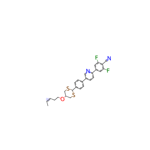 C/C=C\CCOC1CSC(c2ccc(-c3ccc(-c4cc(F)c(C#N)c(F)c4)nc3)cc2)SC1